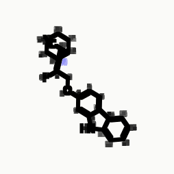 F/C(COc1ccc2c(c1)[nH]c1ccccc12)=C1\CN2CCC1CC2